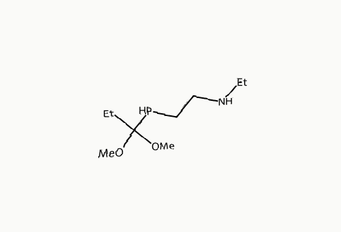 CCNCCPC(CC)(OC)OC